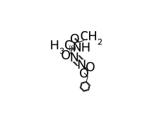 C=CC(=O)N[C@@H](C)C(=O)N1C=CN(C(=O)OCc2ccccc2)C=C1